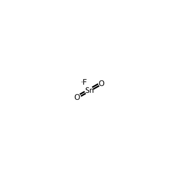 [F].[O]=[Sn]=[O]